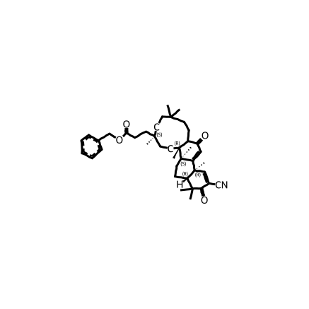 CC1(C)CCC2C(=O)C=C3[C@@]4(C)C=C(C#N)C(=O)C(C)(C)[C@@H]4CC[C@@]3(C)[C@]2(C)CC[C@@](C)(CCC(=O)OCc2ccccc2)CC1